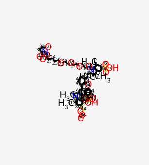 Cc1cc(S(=O)(=O)O)cc2c1N(OCCOCCOCCOCCCCC(=O)ON1C(=O)CCC1=O)/C(=C/C=C1\CCCC(/C=C/C3=[N+](C)c4c(C)cc(SOO[O-])cc4C3(C)C)=C1Oc1ccc(S(=O)(=O)O)cc1)C2(C)C